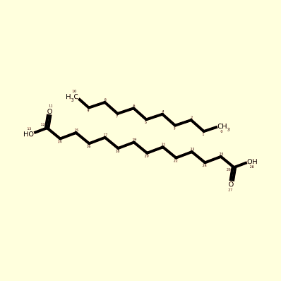 CCCCCCCCCCC.O=C(O)CCCCCCCCCCCCC(=O)O